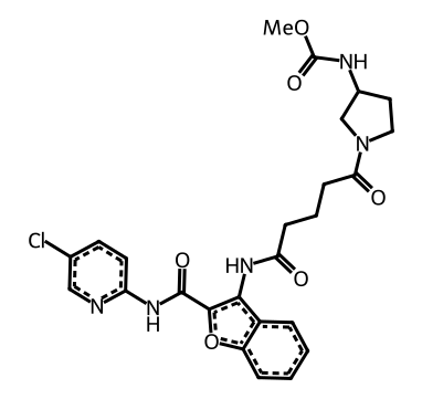 COC(=O)NC1CCN(C(=O)CCCC(=O)Nc2c(C(=O)Nc3ccc(Cl)cn3)oc3ccccc23)C1